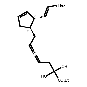 CCCCCCC=C[C@H]1C=CC[C@@H]1CC=C=CCC(O)(O)C(=O)OCC